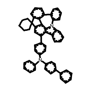 c1ccc(-c2ccc(N(c3ccccc3)c3ccc(-c4cc5c6c7c4c4ccccc4n7-c4ccccc4-c4cccc(c4-6)C54CCCCC4)cc3)cc2)cc1